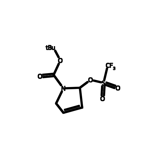 CC(C)(C)OC(=O)N1CC=CC1OS(=O)(=O)C(F)(F)F